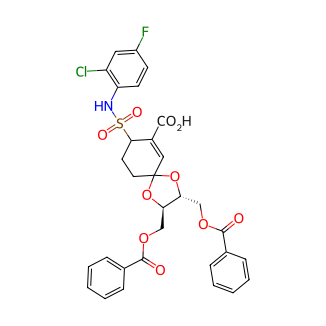 O=C(O)C1=CC2(CCC1S(=O)(=O)Nc1ccc(F)cc1Cl)O[C@H](COC(=O)c1ccccc1)[C@@H](COC(=O)c1ccccc1)O2